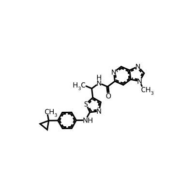 CC(NC(=O)c1cc2c(cn1)ncn2C)c1cnc(Nc2ccc(C3(C)CC3)cc2)s1